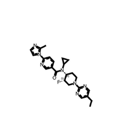 CCc1cnc(N2CC[C@@H](N(C(=O)c3ccc(-n4ccnc4C)nc3)C3CC3)[C@@H](F)C2)nc1